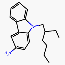 CCCCC(CC)Cn1c2ccccc2c2cc(N)ccc21